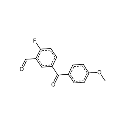 COc1ccc(C(=O)c2ccc(F)c(C=O)c2)cc1